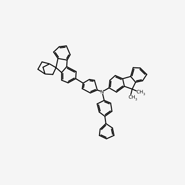 CC1(C)c2ccccc2-c2ccc(N(c3ccc(-c4ccccc4)cc3)c3ccc(-c4ccc5c(c4)-c4ccccc4C54CC5CCC4C5)cc3)cc21